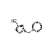 Oc1ncn(Cc2ccccc2)n1